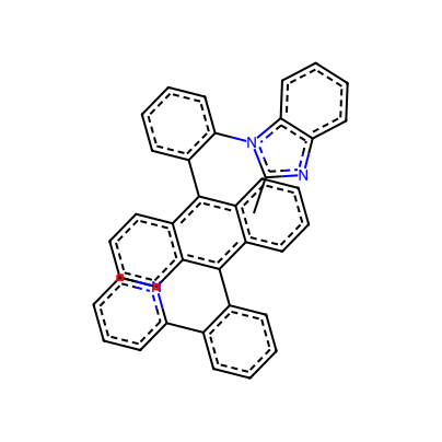 Cc1nc2ccccc2n1-c1ccccc1-c1c2ccccc2c(-c2ccccc2-c2ccccn2)c2ccccc12